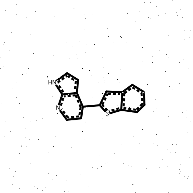 c1ccc2sc(-c3ccnc4[nH]ccc34)cc2c1